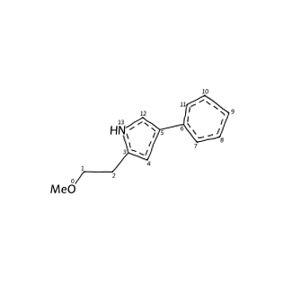 COCCc1cc(-c2ccccc2)c[nH]1